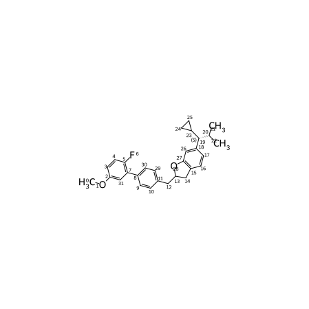 COc1ccc(F)c(-c2ccc(CC3Cc4ccc([C@@H](C(C)C)C5CC5)cc4O3)cc2)c1